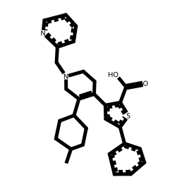 CC1CCC(C2=C(c3cc(-c4ccccc4)sc3C(=O)O)CCN(Cc3ccccn3)C2)CC1